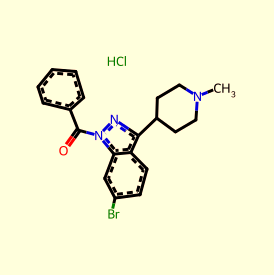 CN1CCC(c2nn(C(=O)c3ccccc3)c3cc(Br)ccc23)CC1.Cl